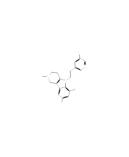 CCc1cc(C)c2c(c1)c1c(n2CCc2cncc(F)c2)CCN(C)C1